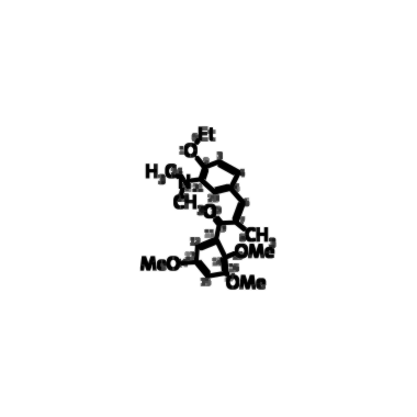 CCOc1ccc(C=C(C)C(=O)c2cc(OC)cc(OC)c2OC)cc1N(C)C